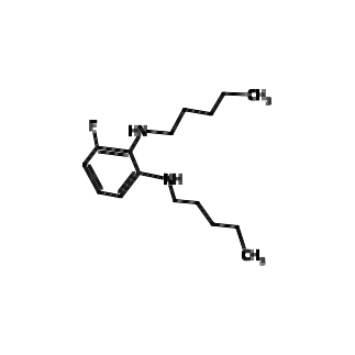 CCCCCNc1cccc(F)c1NCCCCC